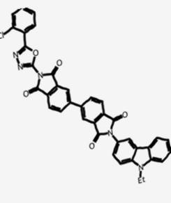 CCn1c2ccccc2c2cc(N3C(=O)c4ccc(-c5ccc6c(c5)C(=O)N(c5nnc(-c7ccccc7Cl)o5)C6=O)cc4C3=O)ccc21